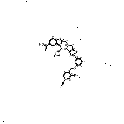 N#Cc1ccc(COc2cccc(-n3cc4c(n3)CN(Cc3nc5ccc(C(=O)O)cc5n3CC3COC3)C4)n2)c(F)c1